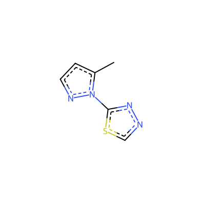 Cc1ccnn1-c1nncs1